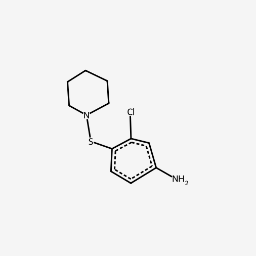 Nc1ccc(SN2CCCCC2)c(Cl)c1